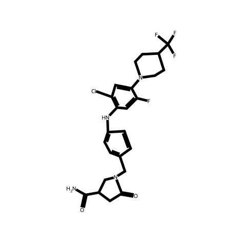 NC(=O)C1CC(=O)N(Cc2ccc(Nc3cc(F)c(N4CCC(C(F)(F)F)CC4)cc3Cl)cc2)C1